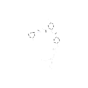 O=C(Nc1ccc(Br)cc1C(=O)N/N=C/c1cccc(F)c1)c1ccc(CNCCCN(CCO)CCO)cc1